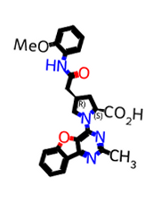 COc1ccccc1NC(=O)C[C@H]1C[C@@H](C(=O)O)N(c2nc(C)nc3c2oc2ccccc23)C1